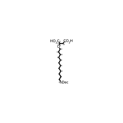 CCCCCCCCCCCCCCCCCCCCCCOC(CC(=O)O)C(=O)O